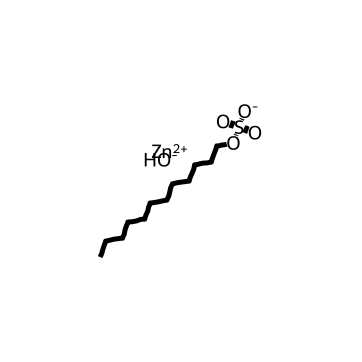 CCCCCCCCCCCCOS(=O)(=O)[O-].[OH-].[Zn+2]